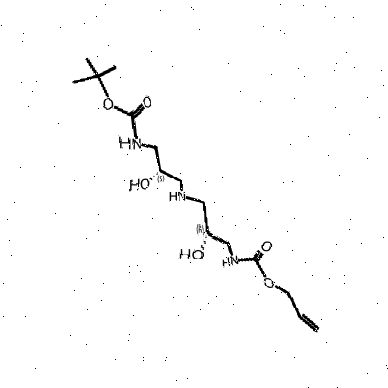 C=CCOC(=O)NC[C@H](O)CNC[C@H](O)CNC(=O)OC(C)(C)C